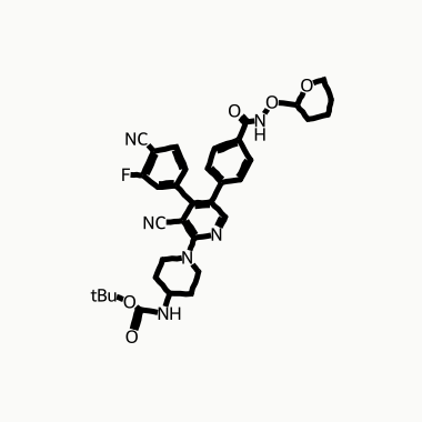 CC(C)(C)OC(=O)NC1CCN(c2ncc(-c3ccc(C(=O)NOC4CCCCO4)cc3)c(-c3ccc(C#N)c(F)c3)c2C#N)CC1